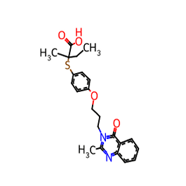 CCC(C)(Sc1ccc(OCCCn2c(C)nc3ccccc3c2=O)cc1)C(=O)O